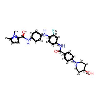 Cc1ccc(C(=O)Nc2ccc(Nc3ccc(NC(=O)c4ccc(N5CCC(O)CC5)cc4)cc3F)cc2)n1C